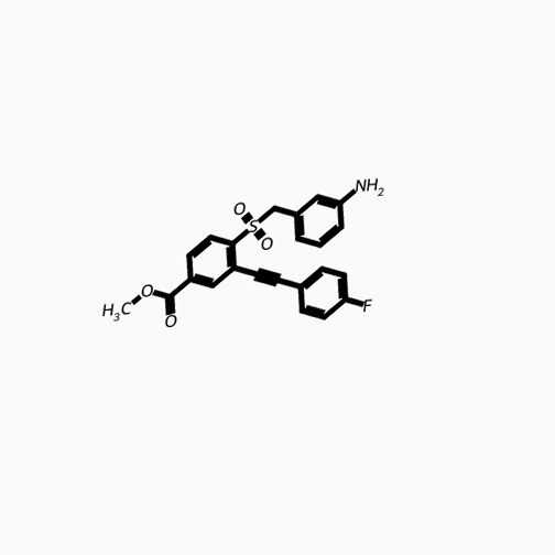 COC(=O)c1ccc(S(=O)(=O)Cc2cccc(N)c2)c(C#Cc2ccc(F)cc2)c1